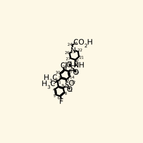 CC1(C)c2ccc(F)cc2S(=O)(=O)c2cc(S(=O)(=O)NC3CCN(CC(=O)O)CC3)c(Cl)cc21